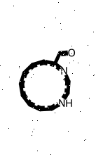 O=Cc1cccccccc[nH]ccn1